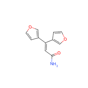 NC(=O)C=C(c1ccoc1)c1ccoc1